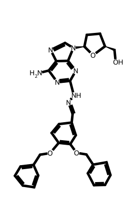 Nc1nc(N/N=C/c2ccc(OCc3ccccc3)c(OCc3ccccc3)c2)nc2c1ncn2[C@H]1CC[C@@H](CO)O1